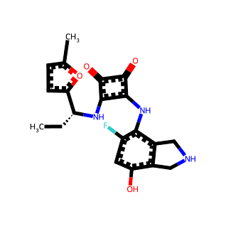 CC[C@@H](Nc1c(Nc2c(F)cc(O)c3c2CNC3)c(=O)c1=O)c1ccc(C)o1